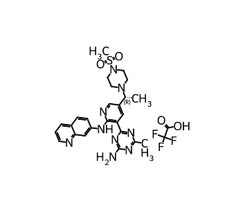 Cc1nc(N)nc(-c2cc([C@@H](C)N3CCN(S(C)(=O)=O)CC3)cnc2Nc2ccc3cccnc3c2)n1.O=C(O)C(F)(F)F